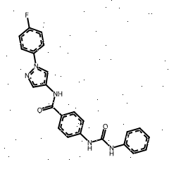 O=C(Nc1ccccc1)Nc1ccc(C(=O)Nc2cnn(-c3ccc(F)cc3)c2)cc1